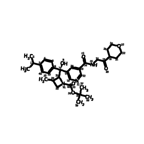 CC(C)c1ccc([C@@](O)(c2cncc(C(=O)NCC(=O)C3CCOCC3)c2)C2C(C)CN2C(=O)OC(C)(C)C)cc1